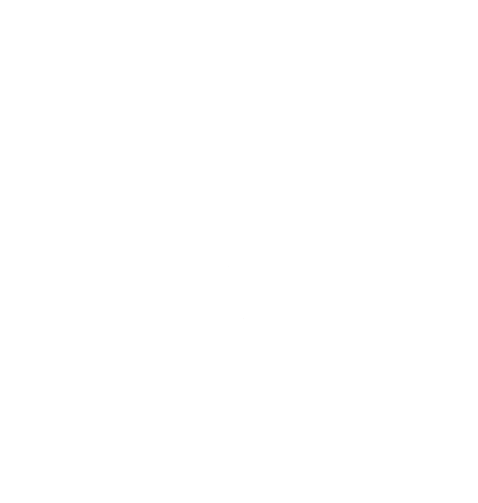 C1=CC=C2C=Cc3ccccc3C2C=C1